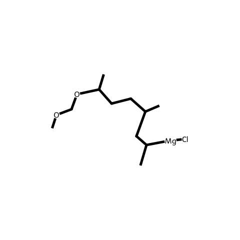 COCOC(C)CCC(C)C[CH](C)[Mg][Cl]